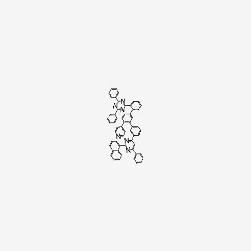 c1ccc(-c2cc(-c3cccc(-c4cc(-c5ccccc5-c5nc(-c6ccccc6)nc(-c6ccccc6)n5)ccc4-c4ccncc4)c3)nc(-c3cccc4ccccc34)n2)cc1